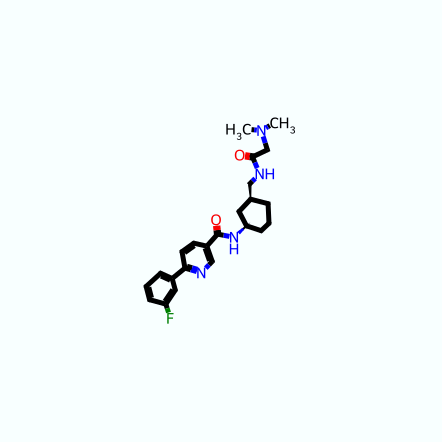 CN(C)CC(=O)NC[C@H]1CCC[C@@H](NC(=O)c2ccc(-c3cccc(F)c3)nc2)C1